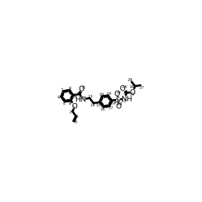 C=CCOc1ccccc1C(=O)NCCc1ccc(S(=O)(=O)NC(=O)OC(C)C)cc1